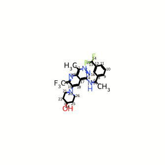 Cc1nnc(N[C@H](C)c2cccc(C(F)F)c2)c2cc(N3CCC(O)CC3)c(C(F)(F)F)nc12